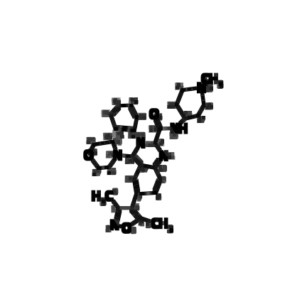 Cc1noc(C)c1-c1ccc2nc(C(=O)NC3CCN(C)CC3)nc(N3CCOC[C@@H]3c3ccccc3)c2c1